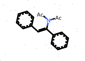 CC(=O)N(C(C)=O)/C(=C\c1ccccc1)c1ccccc1